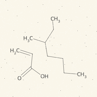 C=CC(=O)O.CCCCC(C)CC